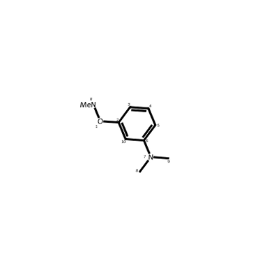 CNOc1cccc(N(C)C)c1